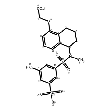 CN(C1CCCc2c(OCC(=O)O)cccc21)S(=O)(=O)c1cc(C(F)(F)F)cc(S(=O)(=O)C(C)(C)C)c1